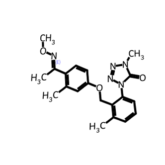 CO/N=C(\C)c1ccc(OCc2c(C)cccc2-n2nnn(C)c2=O)cc1C